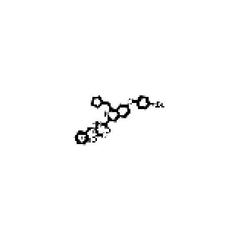 COC(=O)[C@@H](Cc1ccccc1)NC(=O)c1cc2ccc(Oc3ccc(C(C)(C)C)cc3)cc2c(CC2CCCC2)n1